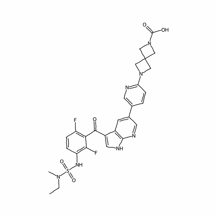 CCN(C)S(=O)(=O)Nc1ccc(F)c(C(=O)c2c[nH]c3ncc(-c4ccc(N5CC6(CN(C(=O)O)C6)C5)nc4)cc23)c1F